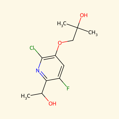 CC(O)c1nc(Cl)c(OCC(C)(C)O)cc1F